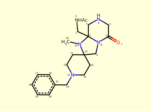 CC(=O)NCC12CNCC(=O)N1CC1(CCN(Cc3ccccc3)CC1)N2C